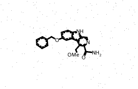 COCc1c(C(N)=O)ncc2[nH]c3ccc(OCc4ccccc4)cc3c12